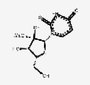 CO[C@@]1(O)[C@H](O)[C@@H](CO)O[C@H]1n1ccc(=O)[nH]c1=O